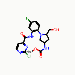 CC(C)(C)OC(=O)NC1CC(CO)N(c2ccc(F)cc2NC(=O)c2ccnc(Cl)n2)C1